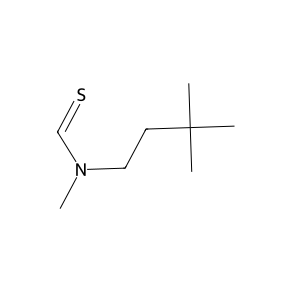 CN(C=S)CCC(C)(C)C